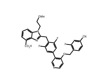 COCCn1c(Cc2c(F)cc(-c3cnccc3OCc3ccc(C#N)cc3F)cc2F)nc2c(C(=O)O)cccc21